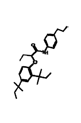 [CH2]CCc1ccc(NC(=O)C(CC)Oc2ccc(C(C)(C)CC)cc2C(C)(C)CC)cc1